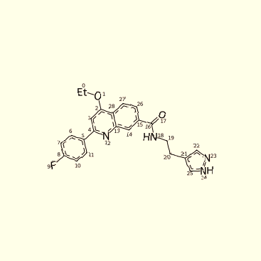 CCOc1cc(-c2ccc(F)cc2)nc2cc(C(=O)NCCc3cn[nH]c3)ccc12